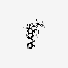 BC1(B)Cc2ncc(Nc3ccncc3F)cc2C(B)(CO)N1C(=O)OC(C)(C)C